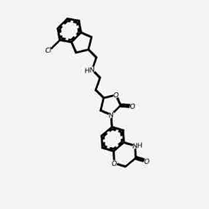 O=C1COc2ccc(N3CC(CCNCC4Cc5cccc(Cl)c5C4)OC3=O)cc2N1